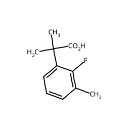 Cc1cccc(C(C)(C)C(=O)O)c1F